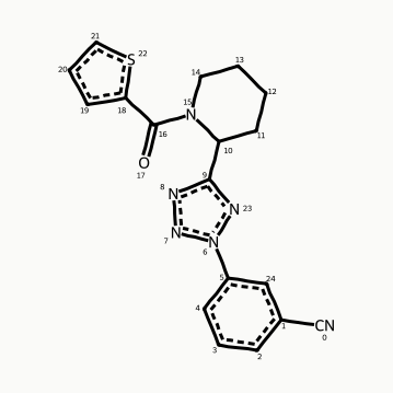 N#Cc1cccc(-n2nnc(C3CCCCN3C(=O)c3cccs3)n2)c1